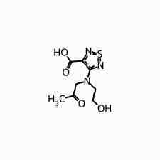 CC(=O)CN(CCO)c1nsnc1C(=O)O